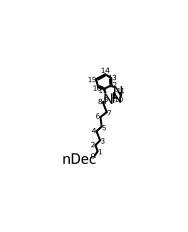 CCCCCCCCCCCCCCCCCCn1nnc2ccccc21